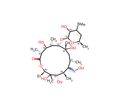 CC[C@H]1OC(=O)[C@H](C)[C@@H](O)[C@H](C)[C@H](O[C@@H]2O[C@H](C)CC(NC)[C@@H]2O)[C@](C)(O)C[C@H](C)/C(=N\O)[C@@H](C)[C@H](O)C1(C)O